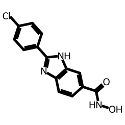 O=C(NO)c1ccc2nc(-c3ccc(Cl)cc3)[nH]c2c1